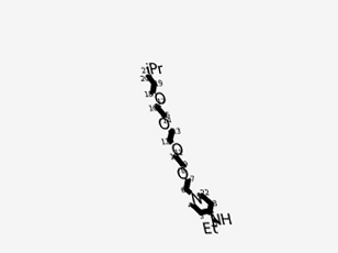 CCNC1CCN(CCOCCOCCOCCOCCCC(C)C)CC1